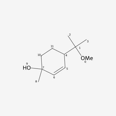 COC(C)(C)C1C=CC(C)(O)CC1